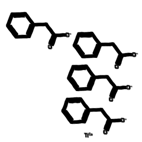 O=C([O-])Cc1ccccc1.O=C([O-])Cc1ccccc1.O=C([O-])Cc1ccccc1.O=C([O-])Cc1ccccc1.[Ti+4]